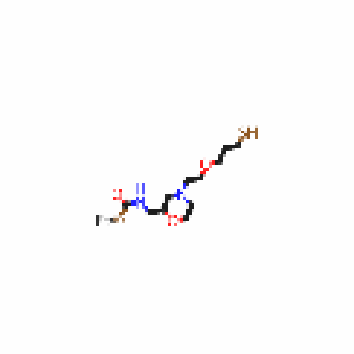 CCSC(=O)NCC1CN(CCOCCCS)CCO1